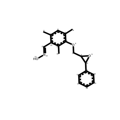 Cc1cc(C)c(OCC2OC2c2ccccc2)c(C)c1C=NO